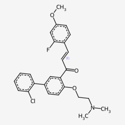 COc1ccc(/C=C/C(=O)c2cc(-c3ccccc3Cl)ccc2OCCN(C)C)c(F)c1